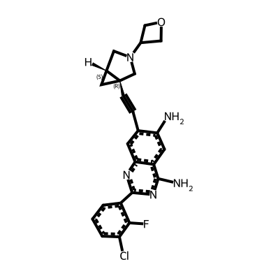 Nc1cc2c(N)nc(-c3cccc(Cl)c3F)nc2cc1C#C[C@@]12C[C@@H]1CN(C1COC1)C2